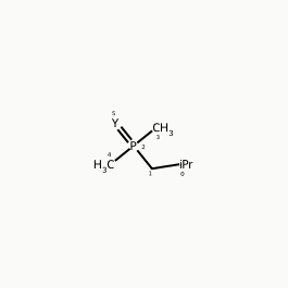 CC(C)C[P](C)(C)=[Y]